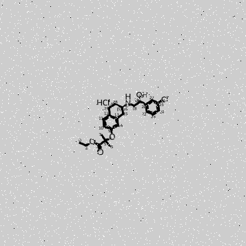 CCOC(=O)C(C)(C)Oc1ccc2c(c1)C[C@H](NC[C@H](O)c1cccc(Cl)c1)CC2.Cl